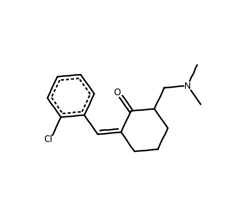 CN(C)CC1CCCC(=Cc2ccccc2Cl)C1=O